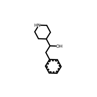 OC(Cc1ccccc1)C1CCNCC1